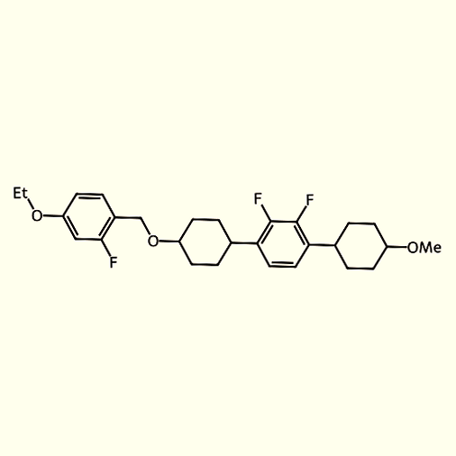 CCOc1ccc(COC2CCC(c3ccc(C4CCC(OC)CC4)c(F)c3F)CC2)c(F)c1